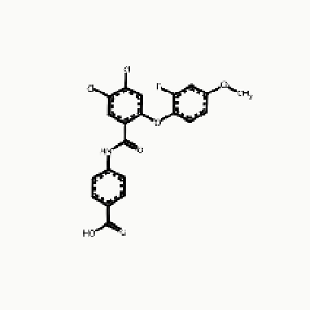 COc1ccc(Oc2cc(Cl)c(Cl)cc2C(=O)Nc2ccc(C(=O)O)cc2)c(F)c1